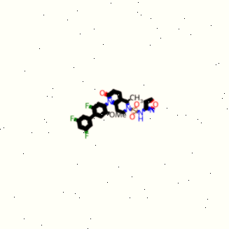 COc1cc(-c2cc(F)cc(F)c2)c(F)cc1-n1c2c(ccc1=O)[C@@H](C)N(S(=O)(=O)Nc1ccon1)CC2